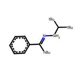 CCCCC(=N[SiH2]C(C(C)(C)C)C(C)(C)C)c1ccccc1